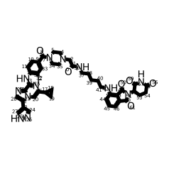 O=C(CN1CCN(C(=O)c2ccc(Nc3nc(C4CC4)cn4c(-c5cn[nH]c5)cnc34)c(F)c2)CC1)NCCCCCNc1cccc2c1C(=O)N(C1CCC(=O)NC1=O)C2=O